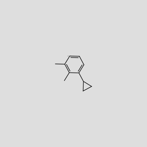 Cc1[c]ccc(C2CC2)c1C